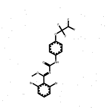 COC(=NC(=O)Nc1ccc(OC(F)(F)C(F)F)cc1)c1c(Br)cccc1Br